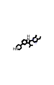 C=C/C=C(\C=C/C(C)CC)c1[nH]c2ccc(C3CCNCC3)cc2c1C(C)C